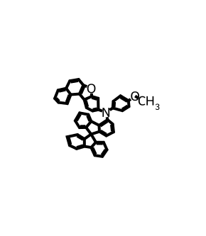 COc1ccc(N(c2ccc3c(c2)oc2ccc4ccccc4c23)c2cccc3c2-c2ccccc2C32c3ccccc3-c3ccccc32)cc1